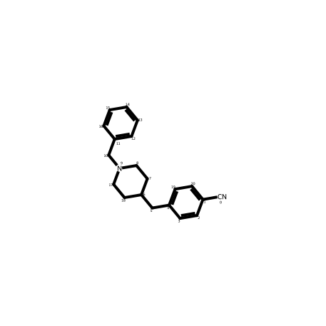 N#Cc1ccc(CC2CCN(Cc3ccccc3)CC2)cc1